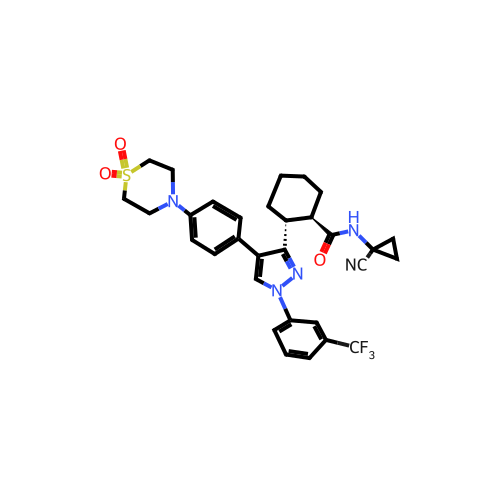 N#CC1(NC(=O)[C@@H]2CCCC[C@H]2c2nn(-c3cccc(C(F)(F)F)c3)cc2-c2ccc(N3CCS(=O)(=O)CC3)cc2)CC1